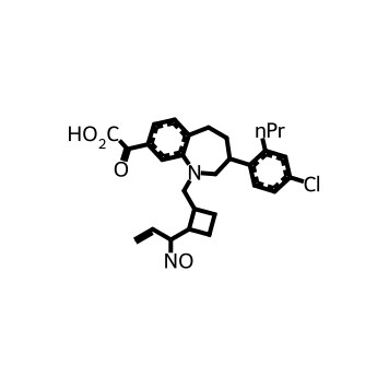 C=CC(N=O)C1CCC1CN1CC(c2ccc(Cl)cc2CCC)CCc2ccc(C(=O)C(=O)O)cc21